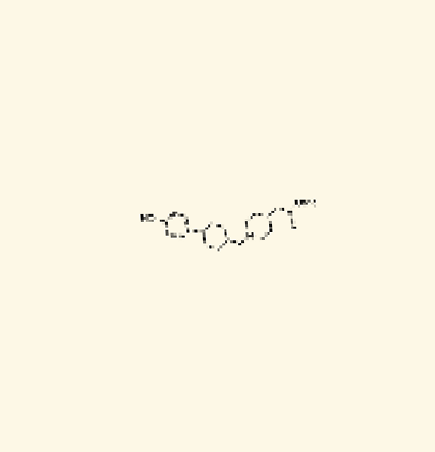 COC(=O)CC1CCN(CC2CCN(c3ccc(C#N)cc3)CC2)CC1